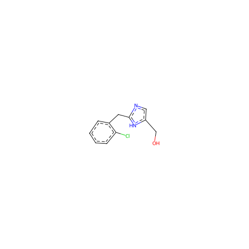 OCc1cnc(Cc2ccccc2Cl)[nH]1